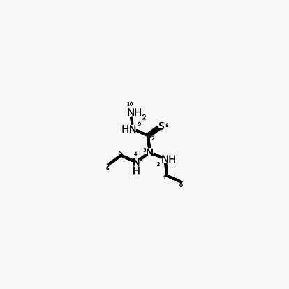 CCNN(NCC)C(=S)NN